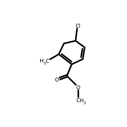 COC(=O)C1=C(C)CC(Cl)C=C1